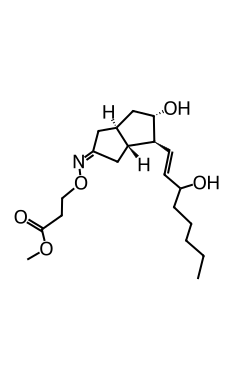 CCCCCC(O)C=C[C@H]1[C@@H]2C/C(=N\OCCC(=O)OC)C[C@H]2C[C@@H]1O